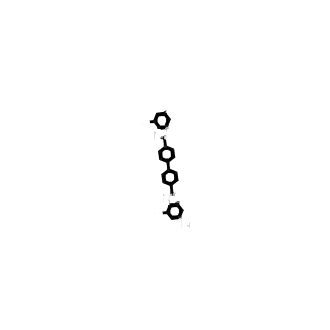 Brc1cc(Br)c2nc(-c3ccc(-c4ccc(-c5nc6c(Br)cc(Br)cc6o5)cc4)cc3)oc2c1